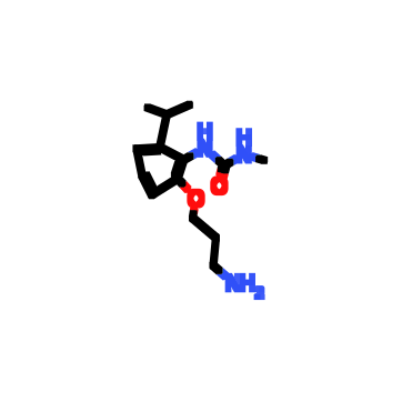 CNC(=O)Nc1c(OCCCN)cccc1C(C)C